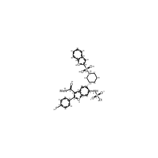 CCS(=O)(=O)Nc1cc2oc(-c3ccc(F)cc3)c(C(=O)NC)c2cc1[C@H]1CCCN(S(=O)(=O)c2cc3ccccc3o2)C1